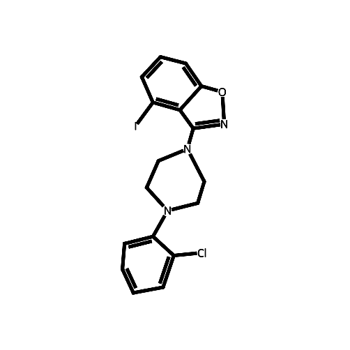 Clc1ccccc1N1CCN(c2noc3cccc(I)c23)CC1